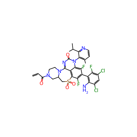 C=CC(=O)N1CCN2c3nc(=O)n(-c4c(C)ccnc4C(C)C)c4c(F)c(-c5c(N)c(Cl)cc(Cl)c5F)c(F)c(c34)S(=O)(=O)CC2C1